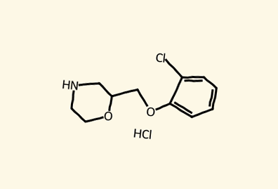 Cl.Clc1ccccc1OCC1CNCCO1